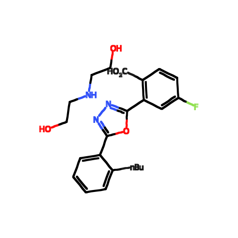 CCCCc1ccccc1-c1nnc(-c2cc(F)ccc2C(=O)O)o1.OCCNCCO